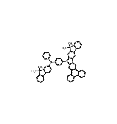 CC1(C)c2ccccc2-c2ccc(N(c3ccccc3)c3ccc(-n4c5cc6c(cc5c5cc7c8ccccc8c8ccccc8c7cc54)-c4ccccc4C6(C)C)cc3)cc21